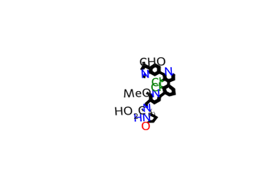 COc1nc(-c2cccc(-c3ccnc(-c4ccc5c(C=O)cn(C)c5c4)c3Cl)c2Cl)ccc1CN(C[C@@H]1CCC(=O)N1)C(=O)O